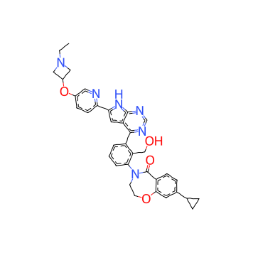 CCN1CC(Oc2ccc(-c3cc4c(-c5cccc(N6CCOc7cc(C8CC8)ccc7C6=O)c5CO)ncnc4[nH]3)nc2)C1